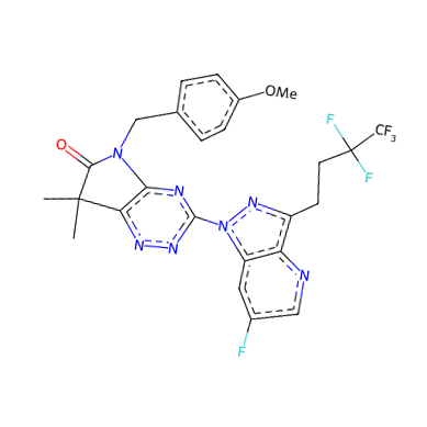 COc1ccc(CN2C(=O)C(C)(C)c3nnc(-n4nc(CCC(F)(F)C(F)(F)F)c5ncc(F)cc54)nc32)cc1